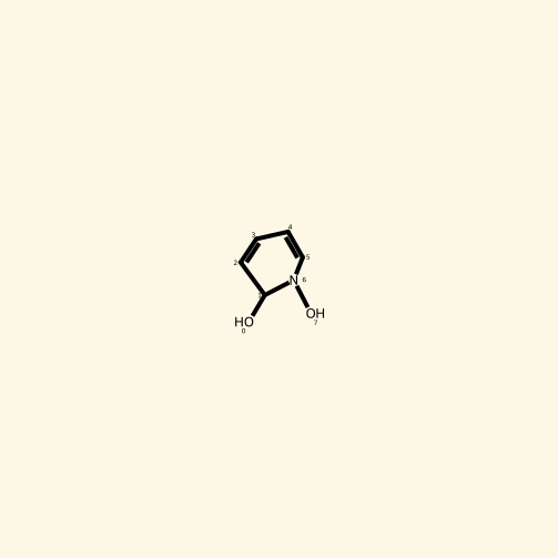 OC1C=CC=CN1O